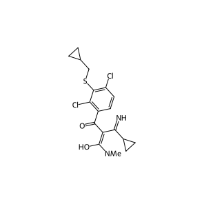 CN/C(O)=C(\C(=N)C1CC1)C(=O)c1ccc(Cl)c(SCC2CC2)c1Cl